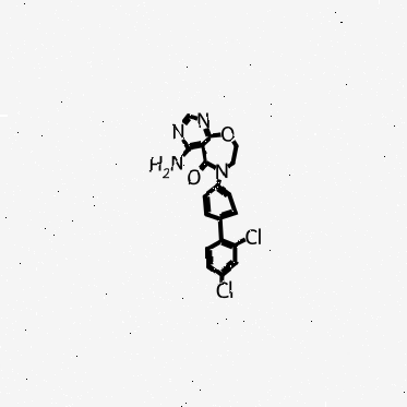 Nc1ncnc2c1C(=O)N(c1ccc(-c3ccc(Cl)cc3Cl)cc1)CCO2